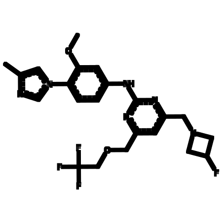 COc1cc(Nc2nc(COCC(F)(F)F)cc(CN3CC(F)C3)n2)ccc1-n1cnc(C)c1